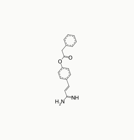 N=C(N)C=Cc1ccc(OC(=O)Cc2ccccc2)cc1